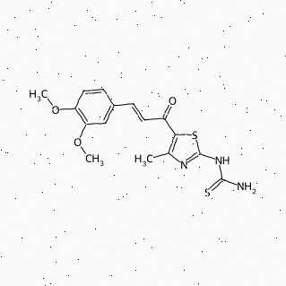 COc1ccc(/C=C/C(=O)c2sc(NC(N)=S)nc2C)cc1OC